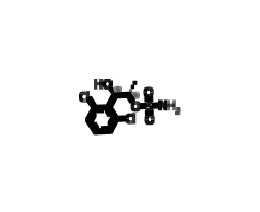 C[C@H](OS(N)(=O)=O)[C@@H](O)c1c(Cl)cccc1Cl